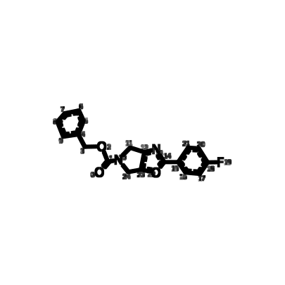 O=C(OCc1ccccc1)N1Cc2nc(-c3ccc(F)cc3)oc2C1